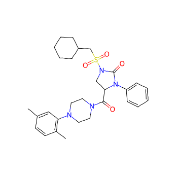 Cc1ccc(C)c(N2CCN(C(=O)C3CN(S(=O)(=O)CC4CCCCC4)C(=O)N3c3ccccc3)CC2)c1